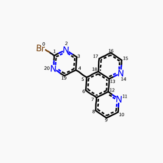 Brc1ncc(-c2cc3cccnc3c3ncccc23)cn1